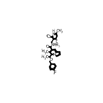 Cc1cc(C)c(CNC(=O)c2cc3cccn3c(C(C)OCc3ccc(F)cc3)c2C)c(=O)[nH]1